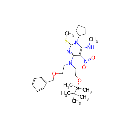 CNC1=C([N+](=O)[O-])C(N(CCOCc2ccccc2)CCO[Si](C)(C)C(C)(C)C)=NC(SC)N1C1CCCC1